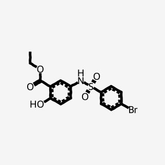 CCOC(=O)c1cc(NS(=O)(=O)c2ccc(Br)cc2)ccc1O